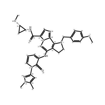 COc1ccc(CN2CCc3c(Nc4cccn(-c5cc(C)n(C)n5)c4=O)nn4c(C(=O)N[C@@H]5C[C@@H]5OC)cnc4c32)cc1